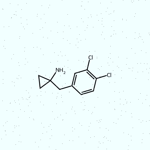 NC1(Cc2ccc(Cl)c(Cl)c2)CC1